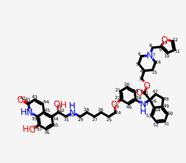 O=C(OCC1CCN(Cc2ccco2)CC1)C1(Nc2cccc(OCCCCCCNC[C@H](O)c3ccc(O)c4[nH]c(=O)ccc34)c2)CCc2ccccc21